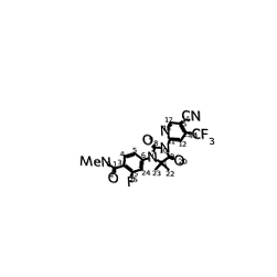 CNC(=O)c1ccc(N2C(=O)N(c3cc(C(F)(F)F)c(C#N)cn3)C(=O)C2(C)C)cc1F